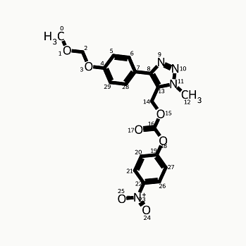 COCOc1ccc(-c2nnn(C)c2COC(=O)Oc2ccc([N+](=O)[O-])cc2)cc1